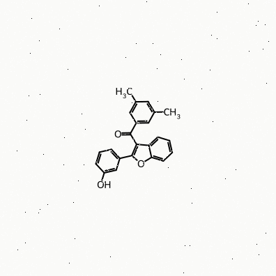 Cc1cc(C)cc(C(=O)c2c(-c3cccc(O)c3)oc3ccccc23)c1